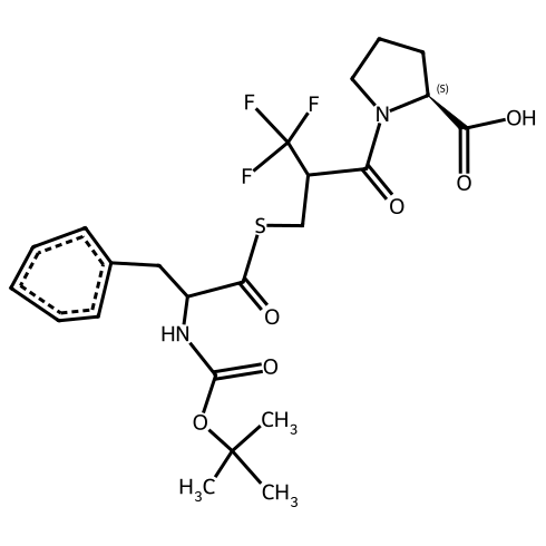 CC(C)(C)OC(=O)NC(Cc1ccccc1)C(=O)SCC(C(=O)N1CCC[C@H]1C(=O)O)C(F)(F)F